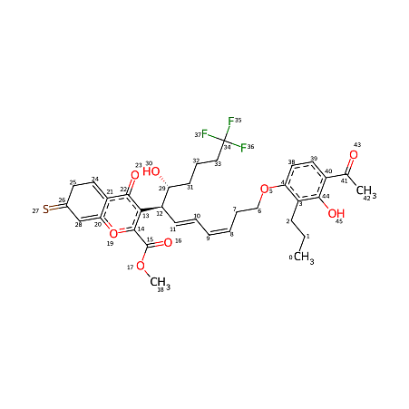 CCCc1c(OCC/C=C\C=C\[C@@H](c2c(C(=O)OC)oc3c(c2=O)=CCC(=S)C=3)[C@H](O)CCCC(F)(F)F)ccc(C(C)=O)c1O